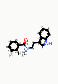 CN(CCc1c[nH]c2ccccc12)C(=O)c1cccc(F)c1